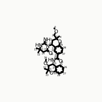 COCC1(C)CC(N2C(=N)NC(C)(C)CC2=O)c2cc(C(=O)N[C@@H]3c4ccccc4OC(C)(C)[C@H]3OC)ccc2O1